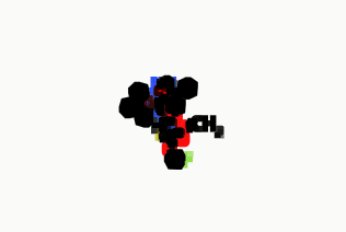 C=CCOC(=O)C1=C(COc2cccc(F)c2)CS[C@H]2C(NC(=O)C(=NOC(c3ccccc3)(c3ccccc3)c3ccccc3)c3nc(N)sc3-c3ccccc3C(c3ccccc3)c3ccccc3)C(=O)N12